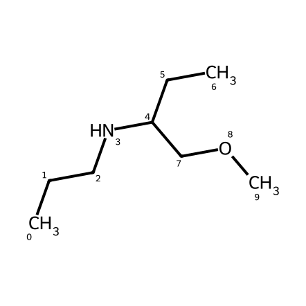 CCCNC(CC)COC